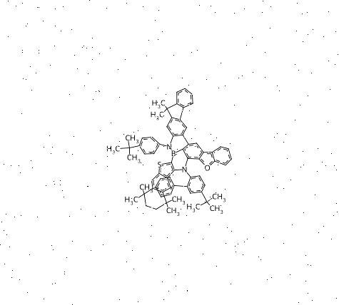 CC(C)(C)c1ccc(N2B3c4sc5cc6c(cc5c4N(c4ccc(C(C)(C)C)cc4-c4ccccc4)c4c3c(cc3c4oc4ccccc43)-c3cc4c(cc32)C(C)(C)c2ccccc2-4)C(C)(C)CCC6(C)C)cc1